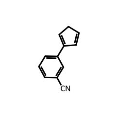 N#Cc1cccc(C2=CCC=C2)c1